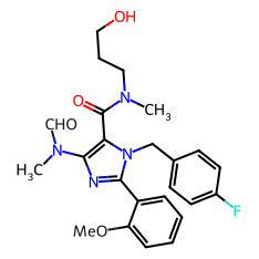 COc1ccccc1-c1nc(N(C)C=O)c(C(=O)N(C)CCCO)n1Cc1ccc(F)cc1